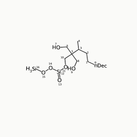 CCCCCCCCCCCCC(C)C(CO)(CO)CO[Si](=O)OO[SiH3]